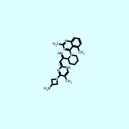 CC1=CN/C(=C\C(=N)C2CCCCN2c2nc(C)nc3cccc(C)c23)N=C1N1CC(N)C1